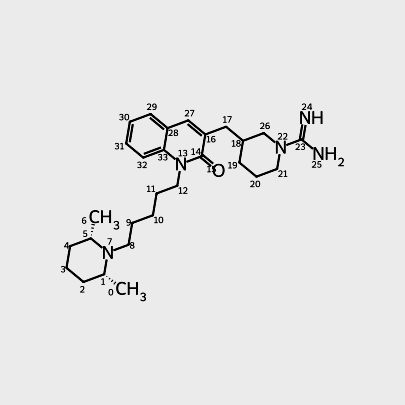 C[C@@H]1CCC[C@H](C)N1CCCCCn1c(=O)c(CC2CCCN(C(=N)N)C2)cc2ccccc21